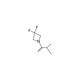 C=C(C(C)C)N1CC(F)(F)C1